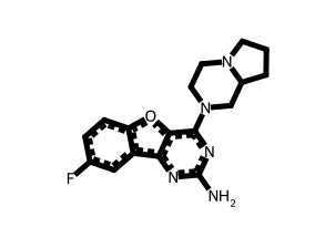 Nc1nc(N2CCN3CCCC3C2)c2oc3ccc(F)cc3c2n1